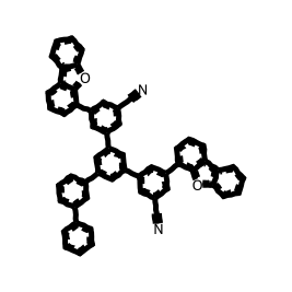 N#Cc1cc(-c2cc(-c3cccc(-c4ccccc4)c3)cc(-c3cc(C#N)cc(-c4cccc5c4oc4ccccc45)c3)c2)cc(-c2cccc3c2oc2ccccc23)c1